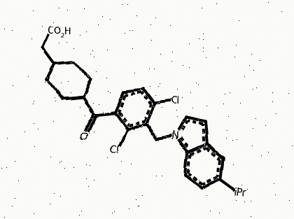 CC(C)c1ccc2c(ccn2Cc2c(Cl)ccc(C(=O)C3CCC(CC(=O)O)CC3)c2Cl)c1